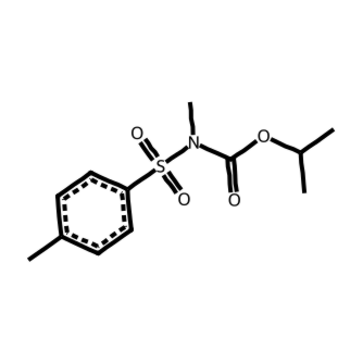 Cc1ccc(S(=O)(=O)N(C)C(=O)OC(C)C)cc1